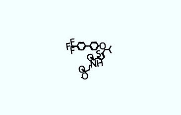 COC(=O)CCNC(=O)c1ccc(C(Oc2ccc(-c3ccc(C(F)(F)F)cc3)cc2)C(C)C)s1